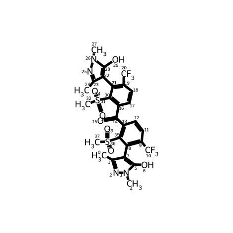 Cc1nn(C)c(O)c1-c1c(C(F)(F)F)ccc(C(=O)c2ccc(C(F)(F)F)c(-c3c(C)nn(C)c3O)c2S(C)(=O)=O)c1S(C)(=O)=O